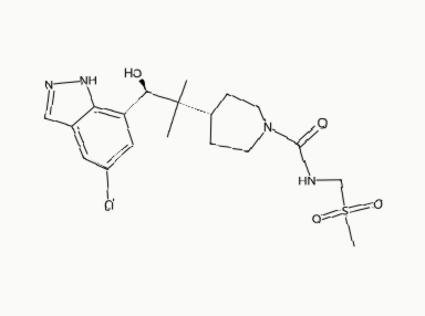 CC(C)(C1CCN(C(=O)NCS(C)(=O)=O)CC1)[C@H](O)c1cc(Cl)cc2cn[nH]c12